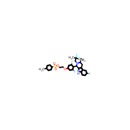 Cc1ccc(S(=O)(=O)OCCOc2cc(F)c(C3c4[nH]c5ccc(F)cc5c4CC(C)N3CC(C)(C)F)c(F)c2)cc1